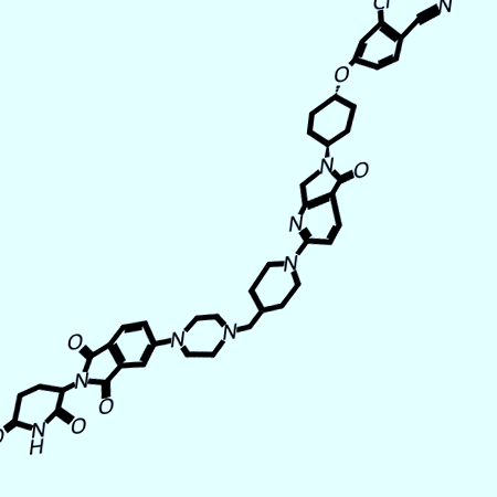 N#Cc1ccc(O[C@H]2CC[C@H](N3Cc4nc(N5CCC(CN6CCN(c7ccc8c(c7)C(=O)N(C7CCC(=O)NC7=O)C8=O)CC6)CC5)ccc4C3=O)CC2)cc1Cl